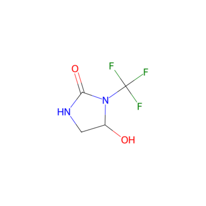 O=C1NCC(O)N1C(F)(F)F